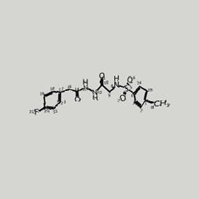 Cc1ccc(S(=O)(=O)NCC(=O)NNC(=O)Cc2ccc(F)cc2)cc1